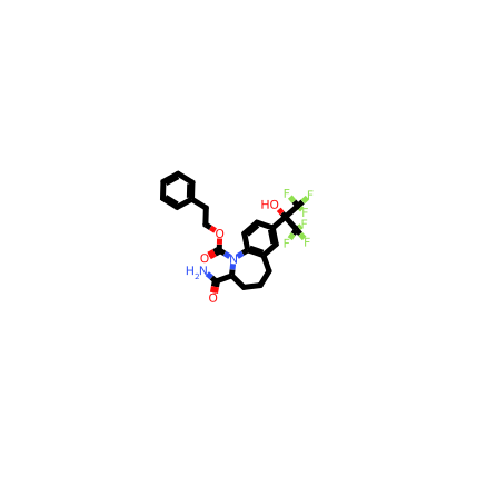 NC(=O)C1CCCc2cc(C(O)(C(F)(F)F)C(F)(F)F)ccc2N1C(=O)OCCc1ccccc1